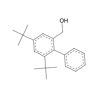 CC(C)(C)c1cc(CO)c(-c2ccccc2)c(C(C)(C)C)c1